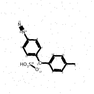 Cc1ccc(Oc2ccc([N+]#N)cc2)cc1.O=S(=O)([O-])O